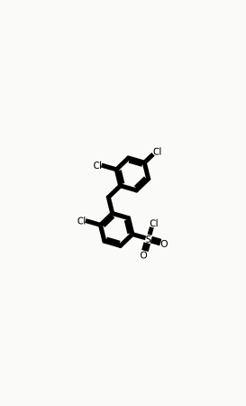 O=S(=O)(Cl)c1ccc(Cl)c(Cc2ccc(Cl)cc2Cl)c1